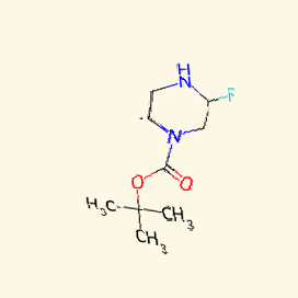 CC(C)(C)OC(=O)N1[CH]CNC(F)C1